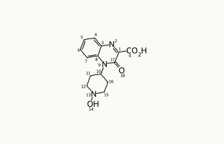 O=C(O)c1nc2ccccc2n(C2CCN(O)CC2)c1=O